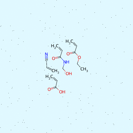 C=CC#N.C=CC(=O)NCO.C=CC(=O)O.C=CC(=O)OCC